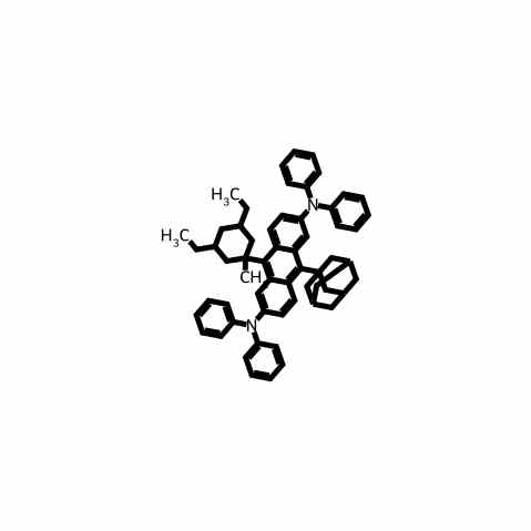 CCC1CC(CC)CC(C)(c2c3cc(N(c4ccccc4)c4ccccc4)ccc3c(C34CC5CC(CC(C5)C3)C4)c3cc(N(c4ccccc4)c4ccccc4)ccc23)C1